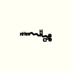 CCCCCCCCCCNCCS(=O)(=O)Cl